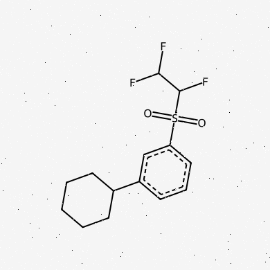 O=S(=O)(c1cccc(C2CCCCC2)c1)C(F)C(F)F